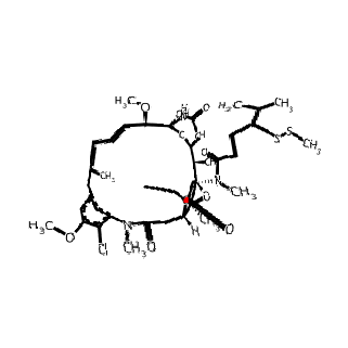 COc1cc2cc(c1Cl)N(C)C(=O)C[C@@H]1OC(=O)[C@H](N(C)C(=O)CCC(SSC)C(C)C)[C@]3(O[C@@]13C)[C@H](C)[C@@H]1C[C@@](O)(NC(=O)O1)[C@H](OC)/C=C/C=C(\C)C2